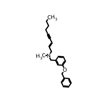 CCCCC#CC=CCN(C)Cc1cccc(OCc2ccccc2)c1